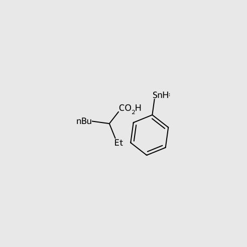 CCCCC(CC)C(=O)O.[SnH][c]1ccccc1